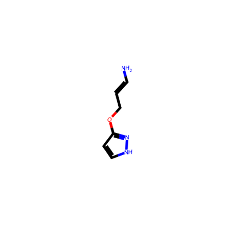 NC=CCOc1cc[nH]n1